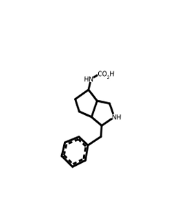 O=C(O)NC1CCC2C(Cc3ccccc3)NCC12